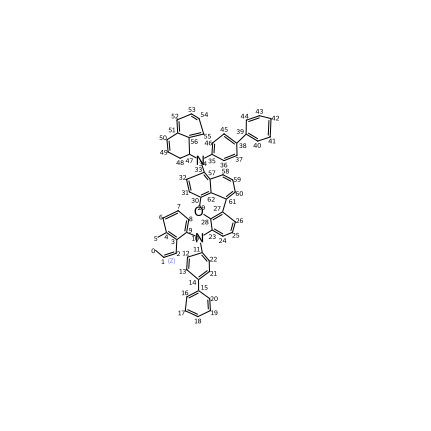 C/C=C\c1c(C)cccc1N(c1ccc(-c2ccccc2)cc1)c1cccc2c1Oc1ccc(N(c3ccc(-c4ccccc4)cc3)C3CC=Cc4ccccc43)c3cccc-2c13